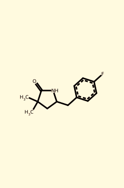 CC1(C)CC(Cc2ccc(F)cc2)NC1=O